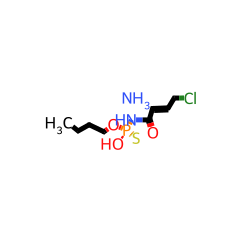 CCCCO[P@](O)(=S)NC(=O)/C=C/CCl.N